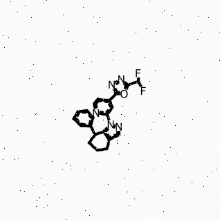 FC(F)c1nnc(-c2ccnc(-n3ncc4c3C(c3ccccc3)CCC4)c2)o1